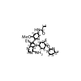 C=CC(=O)Nc1cnc(-c2c(CC)c3ncnc(N)c3n2-c2ccc(Oc3nccc(C)n3)c(F)c2)c(OC)c1